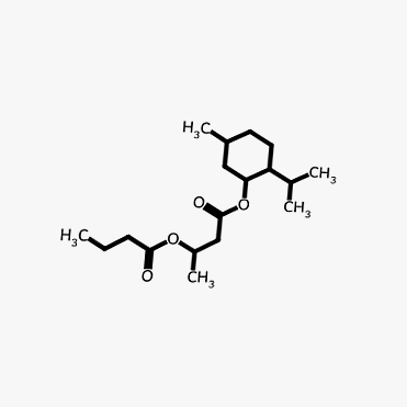 CCCC(=O)OC(C)CC(=O)OC1CC(C)CCC1C(C)C